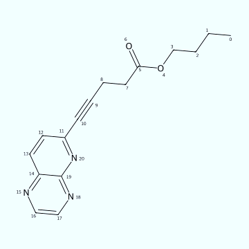 CCCCOC(=O)CCC#Cc1ccc2nccnc2n1